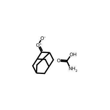 NC(=O)O.[O-][O+]=C1C2CC3CC(C2)CC1C3